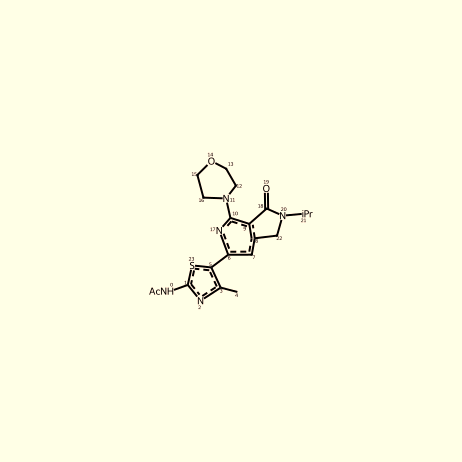 CC(=O)Nc1nc(C)c(-c2cc3c(c(N4CCOCC4)n2)C(=O)N(C(C)C)C3)s1